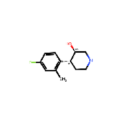 Cc1cc(F)ccc1[C@H]1CCNC[C@@H]1O